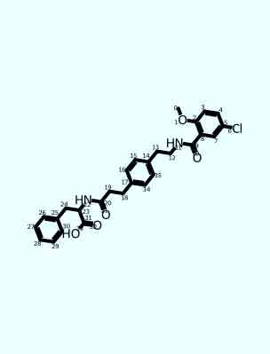 COc1ccc(Cl)cc1C(=O)NCCc1ccc(CCC(=O)NC(Cc2ccccc2)C(=O)O)cc1